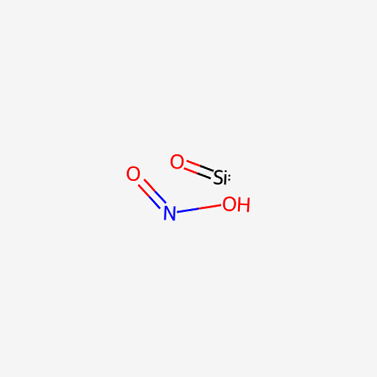 O=NO.O=[Si]